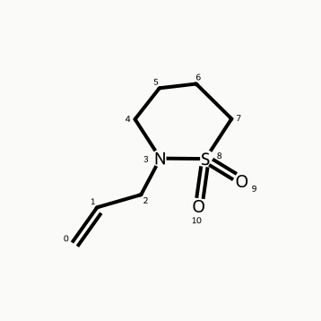 C=CCN1CCCCS1(=O)=O